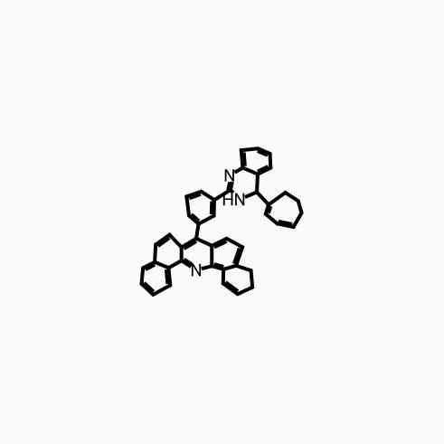 C1=CCCCC(C2NC(c3cccc(-c4c5ccc6c(c5nc5c4ccc4ccccc45)C=CCC6)c3)=Nc3ccccc32)=C1